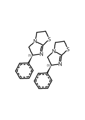 c1ccc([C@H]2CN3CCSC3=N2)cc1.c1ccc([C@H]2CN3CCSC3=N2)cc1